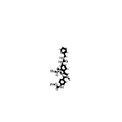 CC(C)OC(=O)NC1CCC(C2SC(c3ccc(NC(=O)NCc4ccccn4)cc3S(=O)(=O)NC(C)(C)C)=CN2C)CC1